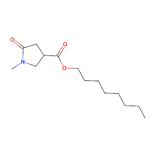 CCCCCCCCOC(=O)C1CC(=O)N(C)C1